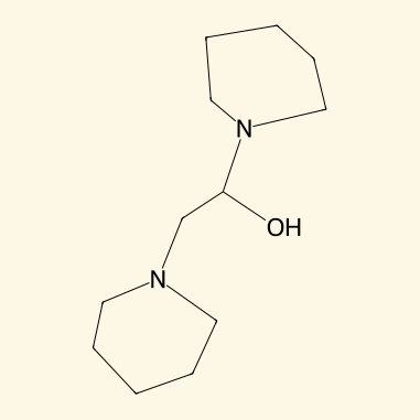 OC(CN1CCCCC1)N1CCCCC1